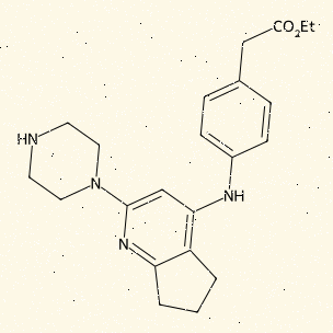 CCOC(=O)Cc1ccc(Nc2cc(N3CCNCC3)nc3c2CCC3)cc1